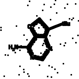 CC(C)(C)c1coc2c(N)ncnc12